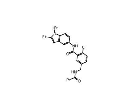 CCc1cc2cc(NC(=O)c3cc(CNC(=O)C(C)C)ccc3Cl)ccc2n1C(C)C